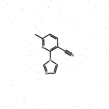 Cc1ccc(C#N)c(-n2ccnc2)n1